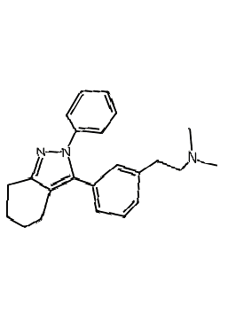 CN(C)CCc1cccc(-c2c3c(nn2-c2ccccc2)CCCC3)c1